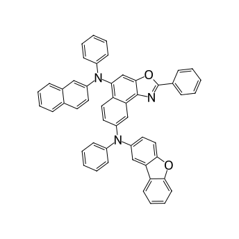 c1ccc(-c2nc3c(cc(N(c4ccccc4)c4ccc5ccccc5c4)c4ccc(N(c5ccccc5)c5ccc6oc7ccccc7c6c5)cc43)o2)cc1